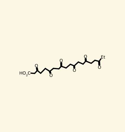 CCC(=O)CCC(=O)CCC(=O)CCC(=O)CCC(=O)CCC(=O)CC(=O)O